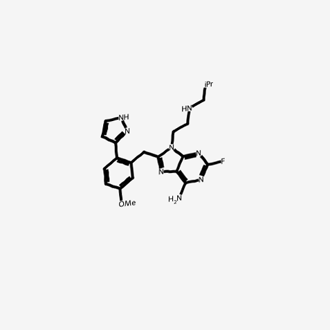 COc1ccc(-c2cc[nH]n2)c(Cc2nc3c(N)nc(F)nc3n2CCNCC(C)C)c1